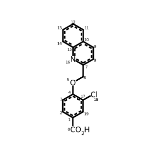 O=C(O)c1ccc(OCc2ccc3ccccc3n2)c(Cl)c1